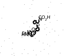 CCNc1ncc2c(n1)N(C)CCN(c1cccc(COC(CCN(C)C(=O)O)c3ccccc3)c1)C2=O